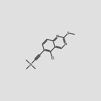 CSc1ncc2c(Cl)c(C#C[Si](C)(C)C)ccc2n1